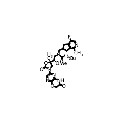 CO[C@H](CN(CC1Cc2c(F)cnc(C)c2C1)C(=O)OC(C)(C)C)[C@@]1(C)CN(c2cnc3c(n2)NC(=O)CO3)C(=O)O1